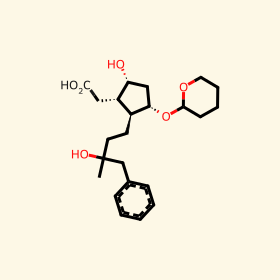 CC(O)(CC[C@H]1[C@H](CC(=O)O)[C@H](O)C[C@@H]1OC1CCCCO1)Cc1ccccc1